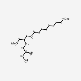 CCCCCCCCCCCCCCCCC=COCC(COC)OCC(O)CO